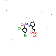 Cc1ccc(/C=C/S(=O)(=O)O)c(C)c1.NC(=O)c1ccc(Br)cc1Cl